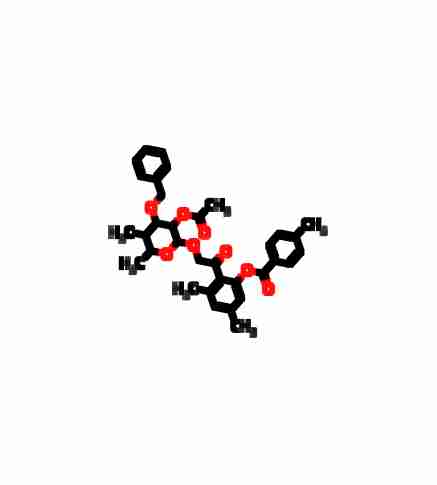 CC(=O)OC1C(OCC(=O)c2c(C)cc(C)cc2OC(=O)c2ccc(C)cc2)OC(C)C(C)C1OCc1ccccc1